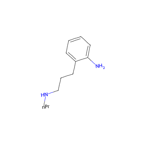 CCCNCCCc1ccccc1N